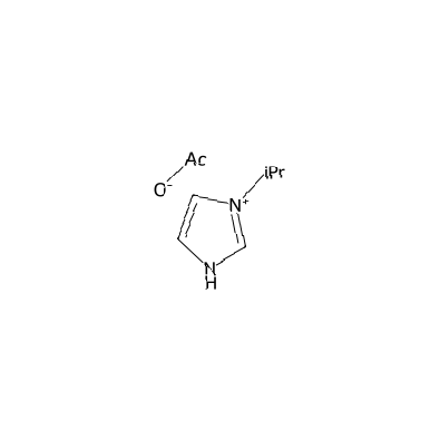 CC(=O)[O-].CC(C)[n+]1cc[nH]c1